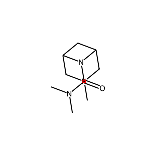 CN1CC2CC(C1)N2C(=O)N(C)C